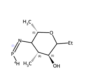 [4H]/P=N\C1[C@H](C)OC(CC)[C@@H](O)[C@@H]1C